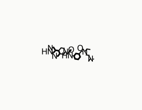 CCN(CCN(C)C)C(=O)c1cccc(NC(=O)N2CCc3c(cnc4[nH]ncc34)C2)c1